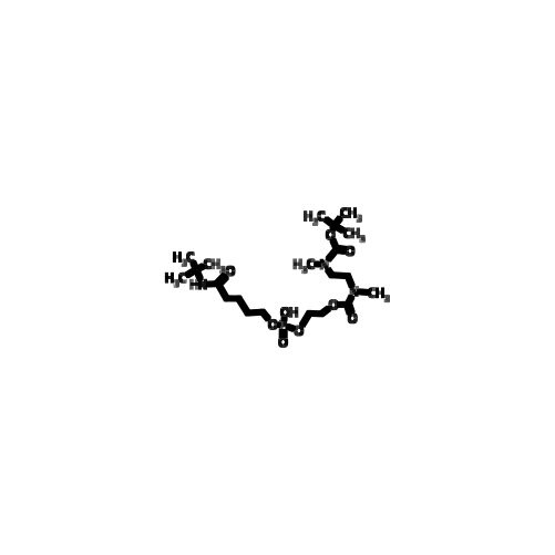 CN(CCN(C)C(=O)OC(C)(C)C)C(=O)OCCOP(=O)(O)OCCCCC(=O)NC(C)(C)C